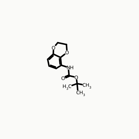 CC(C)(C)OC(=O)Nc1cccc2c1OCCO2